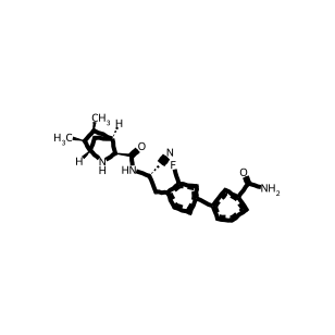 C[C@@H]1[C@H](C)[C@@H]2C[C@@H]1[C@@H](C(=O)N[C@H](C#N)Cc1ccc(-c3cccc(C(N)=O)c3)cc1F)N2